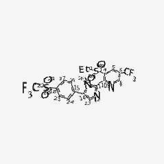 CCS(=O)(=O)c1cc(C(F)(F)F)cnc1-c1ncc(-c2ccc(S(=O)(=O)C(F)(F)F)cc2)n1C